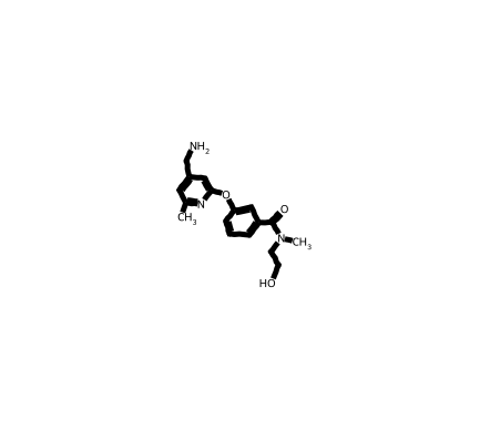 Cc1cc(CN)cc(Oc2cccc(C(=O)N(C)CCO)c2)n1